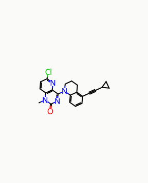 Cn1c(=O)nc(N2CCCc3c(C#CC4CC4)cccc32)c2nc(Cl)ccc21